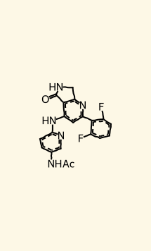 CC(=O)Nc1ccc(Nc2cc(-c3c(F)cccc3F)nc3c2C(=O)NC3)nc1